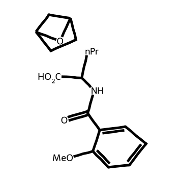 C1CC2CC1O2.CCCC(NC(=O)c1ccccc1OC)C(=O)O